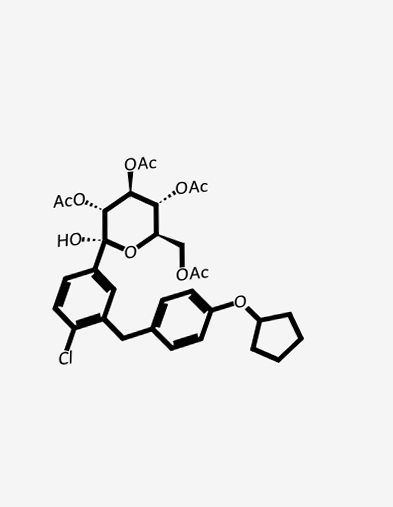 CC(=O)OC[C@H]1O[C@@](O)(c2ccc(Cl)c(Cc3ccc(OC4CCCC4)cc3)c2)[C@H](OC(C)=O)[C@@H](OC(C)=O)[C@@H]1OC(C)=O